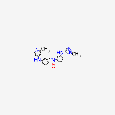 Cc1cc(Nc2ccc3c(c2)CN(c2cccc(Nc4cnn(C)c4)c2)C3=O)ccn1